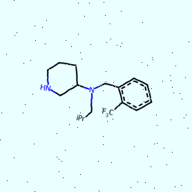 CC(C)CN(Cc1ccccc1C(F)(F)F)C1CCCNC1